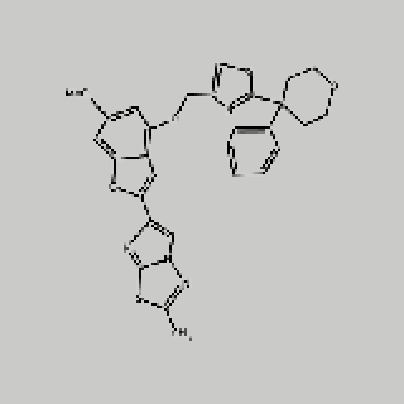 COc1cc(OCc2csc(C3(c4ccccc4)CCOCC3)n2)c2cc(-c3cn4nc(C)sc4n3)oc2c1